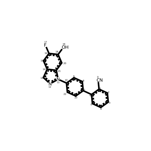 N#Cc1ccccc1-c1ccc(-n2ncc3cc(F)c(O)cc32)cc1